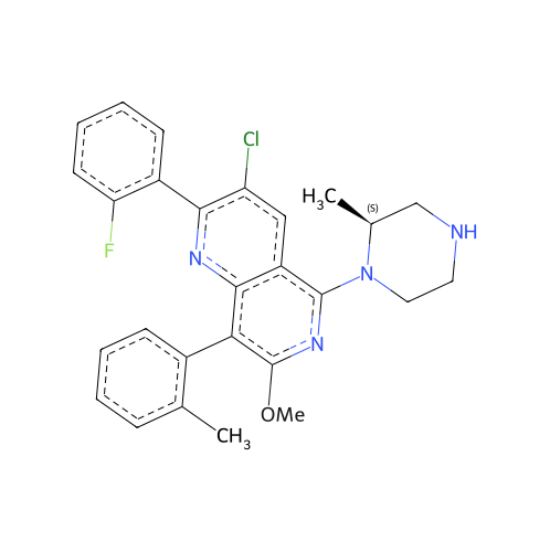 COc1nc(N2CCNC[C@@H]2C)c2cc(Cl)c(-c3ccccc3F)nc2c1-c1ccccc1C